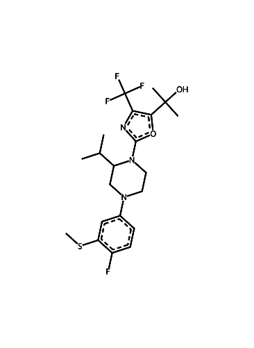 CSc1cc(N2CCN(c3nc(C(F)(F)F)c(C(C)(C)O)o3)C(C(C)C)C2)ccc1F